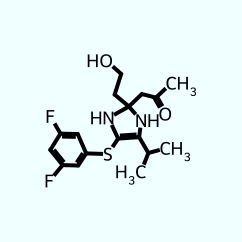 CC(=O)CC1(CCO)NC(Sc2cc(F)cc(F)c2)=C(C(C)C)N1